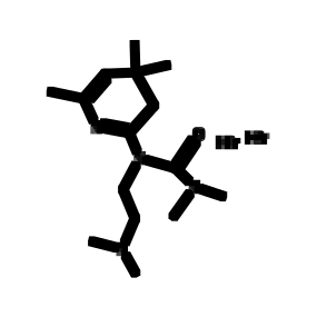 Br.Br.CC1=CC(C)(C)CC(N(CCN(C)C)C(=O)N(C)C)=N1